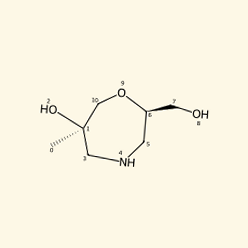 C[C@@]1(O)CNC[C@H](CO)OC1